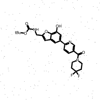 CC(C)(C)OC(=O)NCc1cc2cc(-c3ccc(C(=O)N4CCC(F)(F)CC4)cn3)cc(O)c2o1